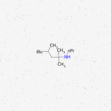 CCCNC(C)(C)CC(C)C(C)CC